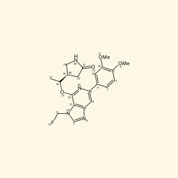 COc1ccc(-c2cc3ncn(CF)c3c(OC(C)[C@H]3CNC(=O)C3)n2)cc1OC